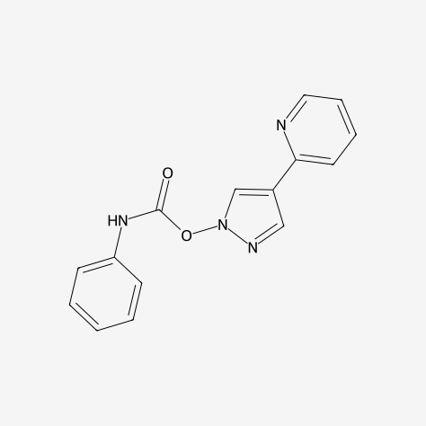 O=C(Nc1ccccc1)On1cc(-c2ccccn2)cn1